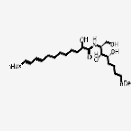 CCCCCC/C=C/C=C/CCCCCCC(O)C(=O)N[C@@H](CO)[C@H](O)[C@H](O)CCCCCCCCCCCCCC